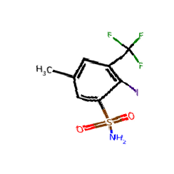 Cc1cc(C(F)(F)F)c(I)c(S(N)(=O)=O)c1